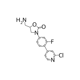 NCC1CN(c2ccc(-c3ccnc(Cl)c3)c(F)c2)C(=O)O1